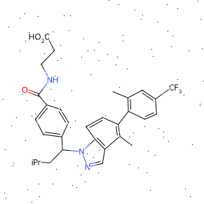 Cc1cc(C(F)(F)F)ccc1-c1ccc2c(cnn2C(CC(C)C)c2ccc(C(=O)NCCC(=O)O)cc2)c1C